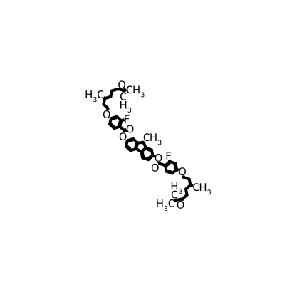 CC(CCOc1ccc(C(=O)Oc2ccc3c(c2)C(C)c2cc(OC(=O)c4ccc(OCCC(C)CCC5OC5(C)C)cc4F)ccc2-3)c(F)c1)CCC1OC1(C)C